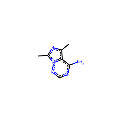 Cc1nc(C)n2ncnc(N)c12